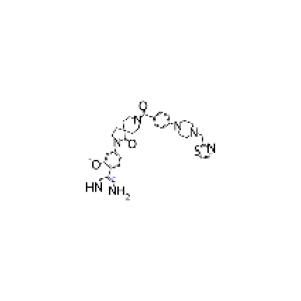 COc1cc(N2CCC3(CCN(C(=O)c4ccc(N5CCN(Cc6nccs6)CC5)cc4)CC3)C2=O)ccc1/C(C=N)=C/N